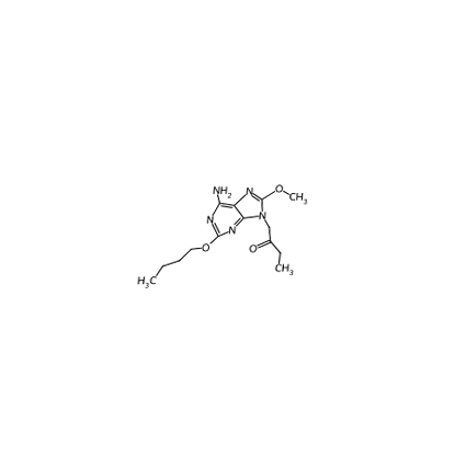 CCCCOc1nc(N)c2nc(OC)n(CC(=O)CC)c2n1